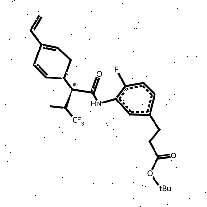 C=CC1=CCC([C@@H](C(=O)Nc2cc(CCC(=O)OC(C)(C)C)ccc2F)C(C)C(F)(F)F)C=C1